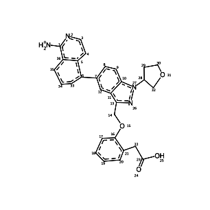 Nc1nccc2c(-c3ccc4c(c3)c(COc3ccccc3CC(=O)O)nn4C3CCOC3)cccc12